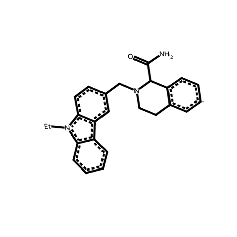 CCn1c2ccccc2c2cc(CN3CCc4c[c]ccc4C3C(N)=O)ccc21